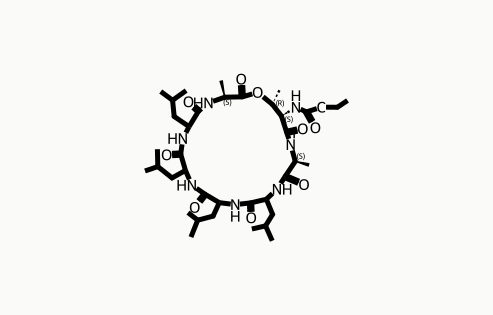 CCCC(=O)N[C@@H]1C(=O)N[C@@H](C)C(=O)NC(CC(C)C)C(=O)NC(CC(C)C)C(=O)NC(CC(C)C)C(=O)NC(CC(C)C)C(=O)N[C@@H](C)C(=O)O[C@@H]1C